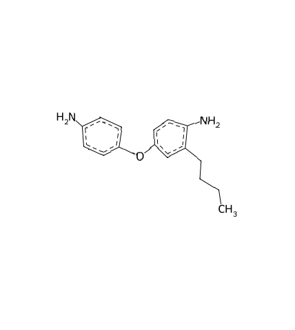 CCCCc1cc(Oc2ccc(N)cc2)ccc1N